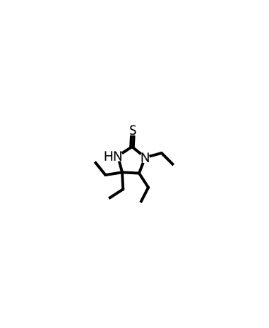 CCC1N(CC)C(=S)NC1(CC)CC